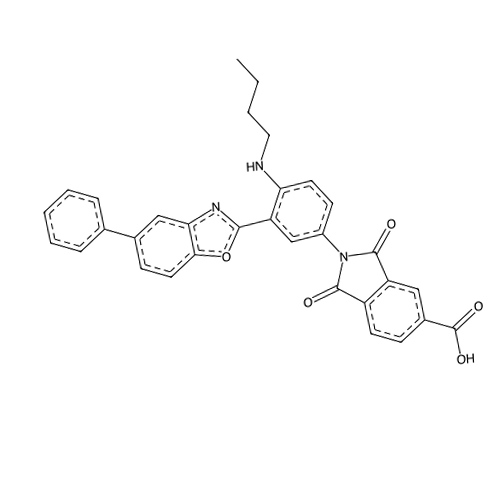 CCCCNc1ccc(N2C(=O)c3ccc(C(=O)O)cc3C2=O)cc1-c1nc2cc(-c3ccccc3)ccc2o1